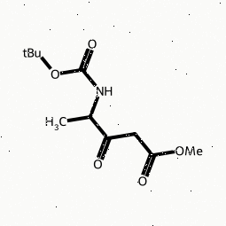 COC(=O)CC(=O)C(C)NC(=O)OC(C)(C)C